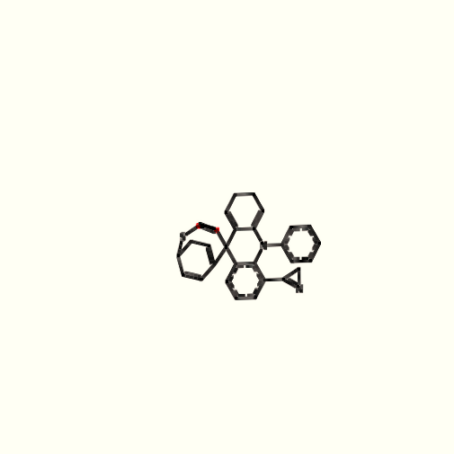 C1=CC2CC=C1C1(C3=CCCC=C3N(c3ccccc3)c3c(C4=NC4)cccc31)C1=C(CCCC1)S2